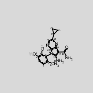 Cc1ccc(O)c(Cl)c1-n1c(N)c(C(N)=O)c2nc(C3CC3)cnc21